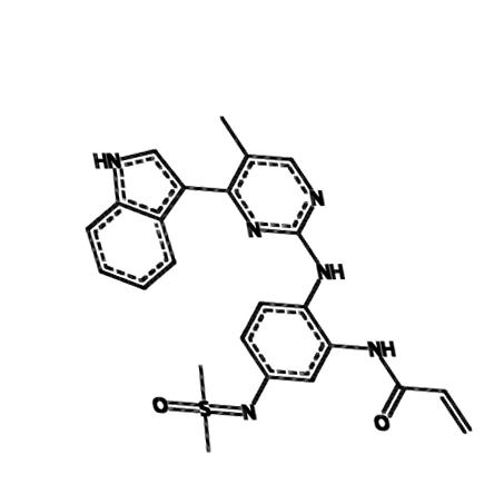 C=CC(=O)Nc1cc(N=S(C)(C)=O)ccc1Nc1ncc(C)c(-c2c[nH]c3ccccc23)n1